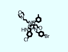 Cc1cccc(SC2(C(=O)NCCCN3CCOCC3)CC(=O)N(Cc3ccc(Br)cc3)[C@H]2c2c[nH]c3cc(Cl)ccc23)c1